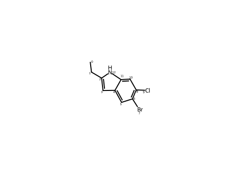 CCc1cc2cc(Br)c(Cl)cc2[nH]1